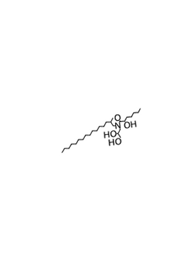 CCCCCCCCCCCCCCC(C)CN(CC(O)CO)C(=O)C(O)CCCCC